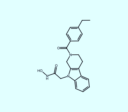 CCc1ccc(C(=O)N2CCc3c(n(CC(=O)NO)c4ccccc34)C2)cc1